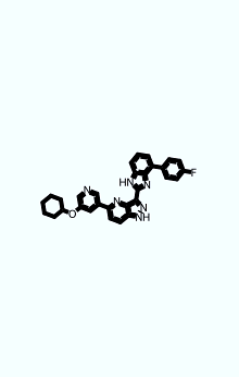 Fc1ccc(-c2cccc3[nH]c(-c4n[nH]c5ccc(-c6cncc(OC7CCCCC7)c6)nc45)nc23)cc1